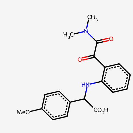 COc1ccc(C(Nc2ccccc2C(=O)C(=O)N(C)C)C(=O)O)cc1